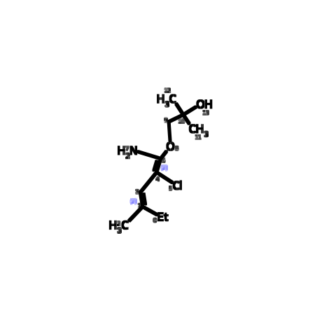 CC/C(C)=C\C(Cl)=C(/N)OCC(C)(C)O